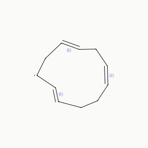 [CH]1/C=C/CC/C=C\C/C=C/C1